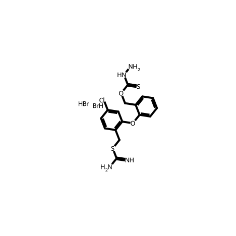 Br.Br.N=C(N)SCc1ccc(Cl)cc1Oc1ccccc1COC(=S)NN